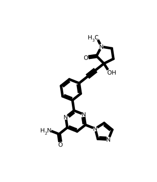 CN1CCC(O)(C#Cc2cccc(-c3nc(C(N)=O)cc(-n4ccnc4)n3)c2)C1=O